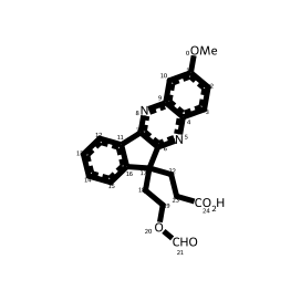 COc1ccc2nc3c(nc2c1)-c1ccccc1C3(CCOC=O)CCC(=O)O